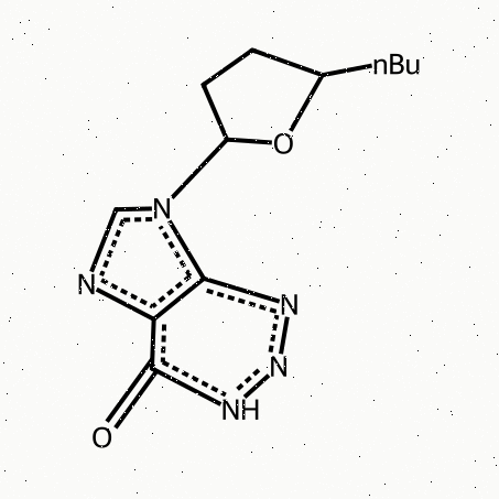 CCCCC1CCC(n2cnc3c(=O)[nH]nnc32)O1